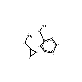 NCC1CC1.NCc1ccccc1